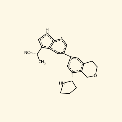 C[C@H](C#N)c1c[nH]c2ncc(-c3cc4c(c([C@@H]5CCCN5)c3)COCC4)cc12